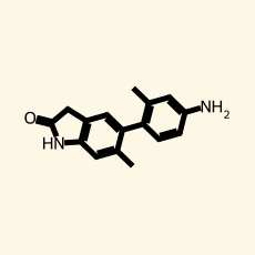 Cc1cc(N)ccc1-c1cc2c(cc1C)NC(=O)C2